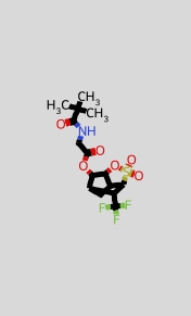 CC(C)(C)C(=O)NCC(=O)OC1C2CC3C1OS(=O)(=O)C3C2C(F)(F)F